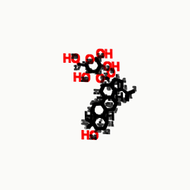 C=C(C)[C@@H]1CC[C@]2(C(=O)O[C@@H]3[C@@H](O)[C@H](O)O[C@H](CO)[C@H]3O)CC[C@]3(C)[C@H](CC[C@@H]4[C@@]5(C)CC[C@H](O)C(C)(C)[C@@H]5CC[C@]43C)[C@@H]12